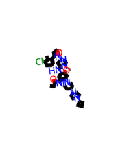 C=CC(=O)Nc1cc(Nc2cc(N3OCCC3c3cccc(Cl)c3C)ncn2)c(OC)cc1N1CCC(N2CCN(C3CCC3)CC2)CC1